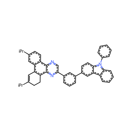 CC(C)C1=Cc2c(c3nc(-c4cccc(-c5ccc6c(c5)c5ccccc5n6-c5ccccc5)c4)cnc3c3ccc(C(C)C)cc23)CC1